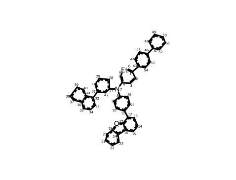 C=C(/C=C\C(=C/CC)N(c1ccc(-c2cccc3c2oc2ccccc23)cc1)c1cccc(-c2cccc3ccccc23)c1)c1ccc(-c2ccccc2)cc1